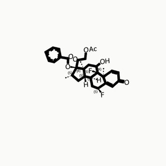 CC(=O)OCC(=O)[C@@]1(OC(=O)c2ccccc2)[C@@H](C)C[C@H]2[C@@H]3C[C@H](F)C4=CC(=O)C=C[C@]4(C)[C@@]3(F)C(O)C[C@@]21C